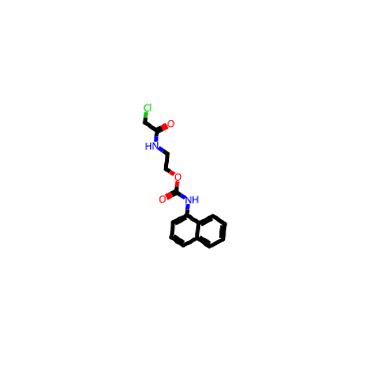 O=C(CCl)NCCOC(=O)Nc1cccc2ccccc12